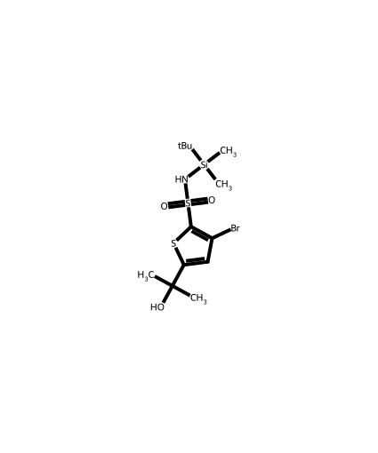 CC(C)(O)c1cc(Br)c(S(=O)(=O)N[Si](C)(C)C(C)(C)C)s1